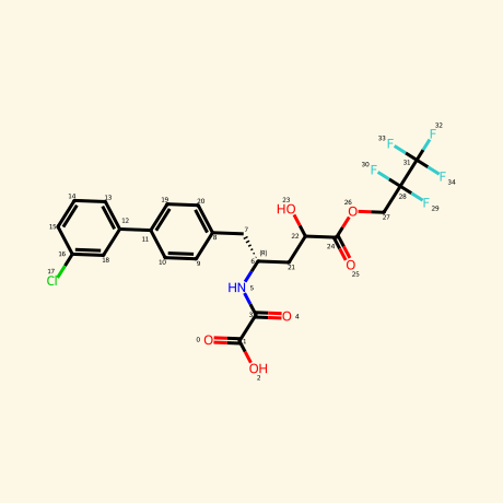 O=C(O)C(=O)N[C@H](Cc1ccc(-c2cccc(Cl)c2)cc1)CC(O)C(=O)OCC(F)(F)C(F)(F)F